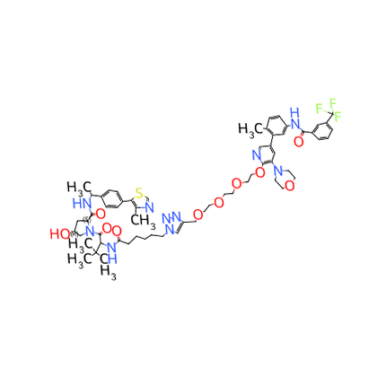 Cc1ccc(NC(=O)c2cccc(C(F)(F)F)c2)cc1-c1cnc(OCCOCCOCCOCc2cn(CCCCCC(=O)NC(C(=O)N3C[C@H](O)C[C@H]3C(=O)NC(C)c3ccc(-c4scnc4C)cc3)C(C)(C)C)nn2)c(N2CCOCC2)c1